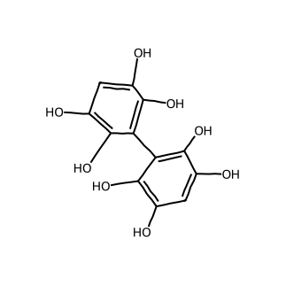 Oc1cc(O)c(O)c(-c2c(O)c(O)cc(O)c2O)c1O